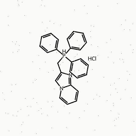 Cl.c1ccc([PH](Cc2cn3ccccc3n2)(c2ccccc2)c2ccccc2)cc1